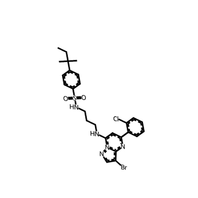 CCC(C)(C)c1ccc(S(=O)(=O)NCCCNc2cc(-c3ccccc3Cl)nc3c(Br)cnn23)cc1